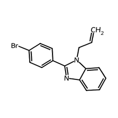 C=CCn1c(-c2ccc(Br)cc2)nc2ccccc21